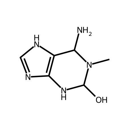 CN1C(O)Nc2nc[nH]c2C1N